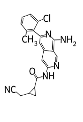 Cc1cccc(Cl)c1-c1cc2cc(NC(=O)C3CC3CC#N)ncc2c(N)n1